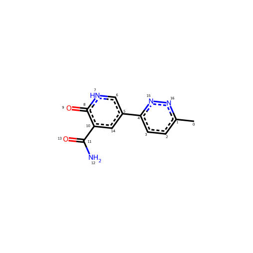 Cc1ccc(-c2c[nH]c(=O)c(C(N)=O)c2)nn1